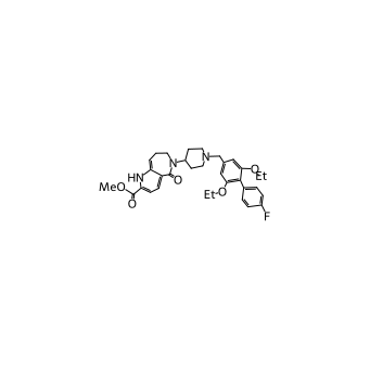 CCOc1cc(CN2CCC(N3CCC=C4NC(C(=O)OC)=CC=C4C3=O)CC2)cc(OCC)c1-c1ccc(F)cc1